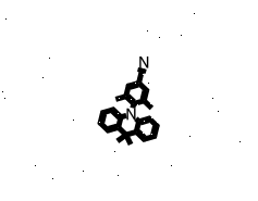 Cc1cc(C#N)cc(C)c1N1c2ccccc2C(C)(C)c2ccccc21